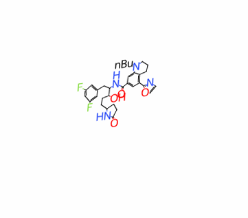 CCCCN1CCCc2c(-c3ncco3)cc(C(=O)NC(Cc3cc(F)cc(F)c3)C(O)CCC3CCC(=O)N3)cc21